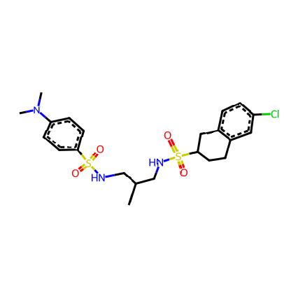 CC(CNS(=O)(=O)c1ccc(N(C)C)cc1)CNS(=O)(=O)C1CCc2cc(Cl)ccc2C1